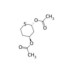 CC(=O)O[C@H]1CCS[C@H](OC(C)=O)C1